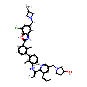 C/C=C\c1cc(CN2CCC(O)C2)cnc1/C(=C/CC)Nc1cccc(-c2cccc(-c3nc4cc(CN5CC(C(=O)O)C5)cc(Cl)c4o3)c2C)c1C